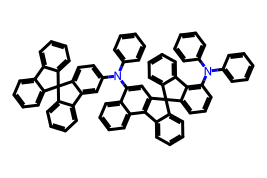 c1ccc(N(c2ccccc2)c2cccc3c2-c2ccccc2C32c3ccccc3-c3c2cc(N(c2ccccc2)c2ccc4c(c2)-c2ccccc2C42c4ccccc4-c4ccccc42)c2ccccc32)cc1